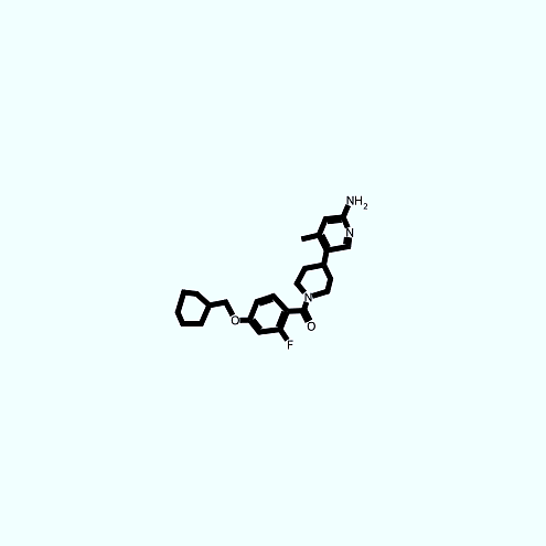 Cc1cc(N)ncc1C1CCN(C(=O)c2ccc(OCC3CCCCC3)cc2F)CC1